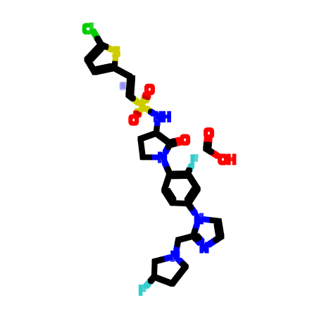 O=C1C(NS(=O)(=O)/C=C/c2ccc(Cl)s2)CCN1c1ccc(-n2ccnc2CN2CCC(F)C2)cc1F.O=CO